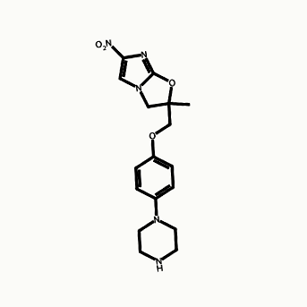 CC1(COc2ccc(N3CCNCC3)cc2)Cn2cc([N+](=O)[O-])nc2O1